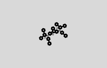 Fc1c(-c2ccccc2)cc(-c2ccccc2)cc1N(c1ccc(-c2ccccc2)cc1)c1ccc2c(c1)sc1c3ccc(N(c4ccc(-c5ccccc5)cc4)c4cc(-c5ccccc5)cc(-c5ccccc5)c4F)cc3c3ccccc3c21